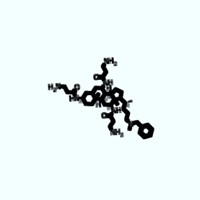 C[C@H](CCCN(C)Cc1ccccc1)C1CC[C@H]2C3C(NC(=O)CCN)CC4C[C@H](NC(=O)CCN)CCC4(C)[C@H]3C[C@H](NC(=O)CCN)C12C